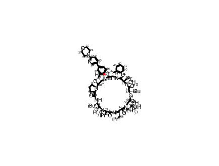 CC[C@H](C)[C@@H]1NC(=O)[C@@H]2CCCN2C(=O)[C@H](Cc2cccc(-c3ccc(N4CCOCC4)nc3)c2)N(C)C(=O)[C@H](Cc2ccccc2)NC(=O)C(C(C)C)N(C)C(=O)[C@@H]([C@@H](C)CC)OC(=O)[C@H](C(C)(C)O)N(C)C(=O)[C@H](CC(C)C)NC(=O)C(C(C)C)N(C)C1=O